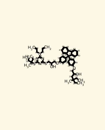 C=CCN(CC=C)c1nc(SCC(O)COc2ccc(C3(c4ccc(OCC(O)CC(C)(CC)CC)cc4)c4ccccc4-c4ccccc43)cc2)nc(SC(C)(CC)CC)n1